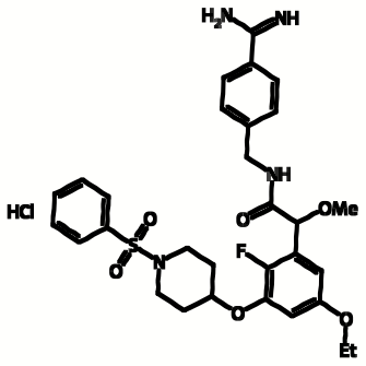 CCOc1cc(OC2CCN(S(=O)(=O)c3ccccc3)CC2)c(F)c(C(OC)C(=O)NCc2ccc(C(=N)N)cc2)c1.Cl